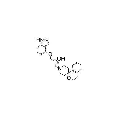 O[C@H](COc1cccc2[nH]ccc12)CN1CCC2(CC1)OCCC1=C2C=CCC1